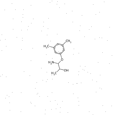 Cc1cc(C)cc(OC(N)C(C)O)c1